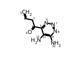 C=CCC(=O)c1nnnc(N)c1N